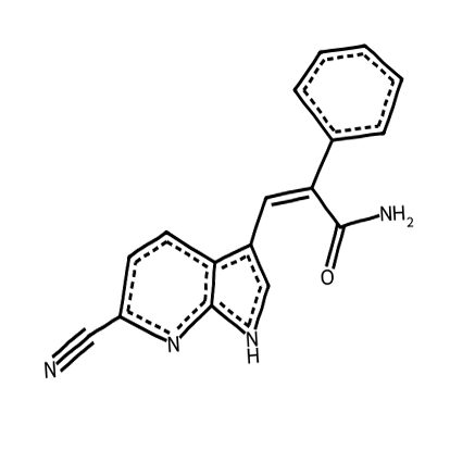 N#Cc1ccc2c(C=C(C(N)=O)c3ccccc3)c[nH]c2n1